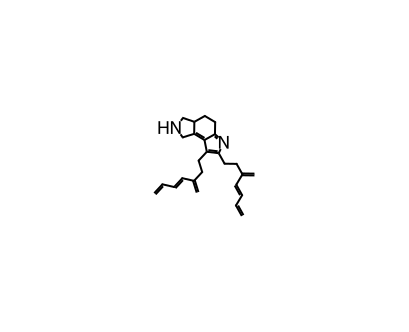 C=CC=CC(=C)CCC1=C(CCC(=C)C=CC=C)C2=C3CNCC3CCC2=N1